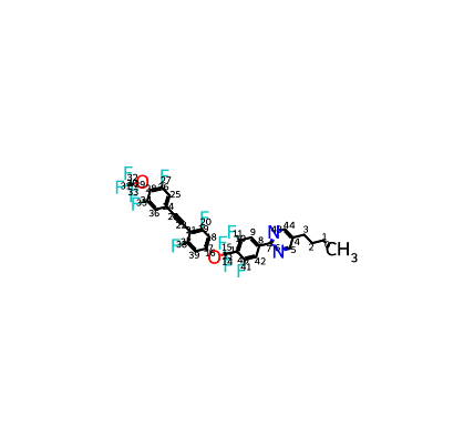 CCCCc1cnc(-c2cc(F)c(C(F)(F)Oc3cc(F)c(C#Cc4cc(F)c(OC(F)(F)F)c(F)c4)c(F)c3)c(F)c2)nc1